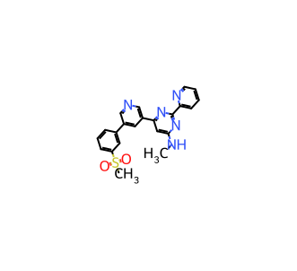 CNc1cc(-c2cncc(-c3cccc(S(C)(=O)=O)c3)c2)nc(-c2ccccn2)n1